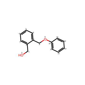 OCc1ccccc1COc1ccccc1